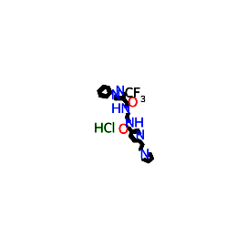 Cl.O=C(NCCNC(=O)c1cn(-c2ccccc2)nc1C(F)(F)F)c1ccc(CCN2CCCC2)nc1